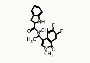 CC(c1cn(C)c(=O)c2cc(F)c(F)cc12)N(C)C(=O)C1Cc2ccccc2N1